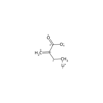 C=C(CC)C(=O)[O-].[Li+]